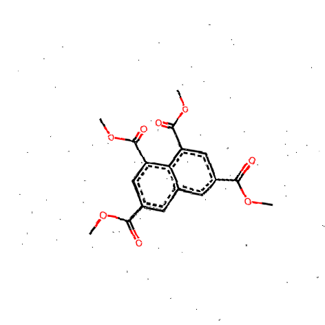 COC(=O)c1cc(C(=O)OC)c2c(C(=O)OC)cc(C(=O)OC)cc2c1